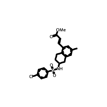 COC(=O)C=Cc1cc(C)cc2c1CCC(NS(=O)(=O)c1ccc(Cl)cc1)C2